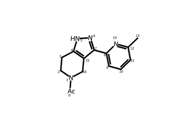 CC(=O)N1CCc2[nH]nc(-c3cccc(C)n3)c2C1